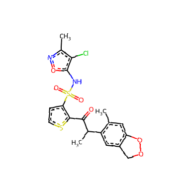 Cc1cc2c(cc1C(C)C(=O)c1sccc1S(=O)(=O)Nc1onc(C)c1Cl)COO2